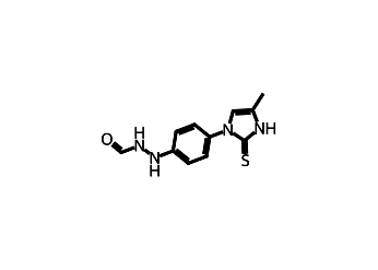 Cc1cn(-c2ccc(NNC=O)cc2)c(=S)[nH]1